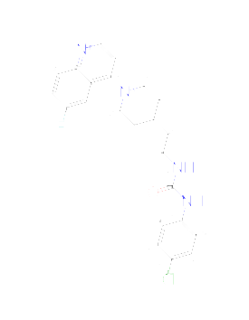 O=C(NCCC1CCN(c2ccnc3ccc(F)cc23)CC1)Nc1ccc(Cl)cc1